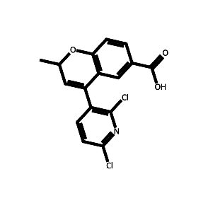 CC1C=C(c2ccc(Cl)nc2Cl)c2cc(C(=O)O)ccc2O1